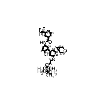 Cc1ccc(NC(=O)c2ccnc(C(F)(F)F)c2)cc1-c1cc(OCCO[Si](C)(C)C(C)(C)C)nc([C@@]23CCOCC2C3)c1